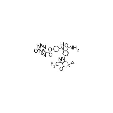 Cn1nnc2c(C(=O)OC3CCC(Nc4cc(-n5nc(C(F)(F)F)c6c5CC(C)(C5CC5)CC6=O)ccc4C(N)=O)CC3)ncn2c1=O